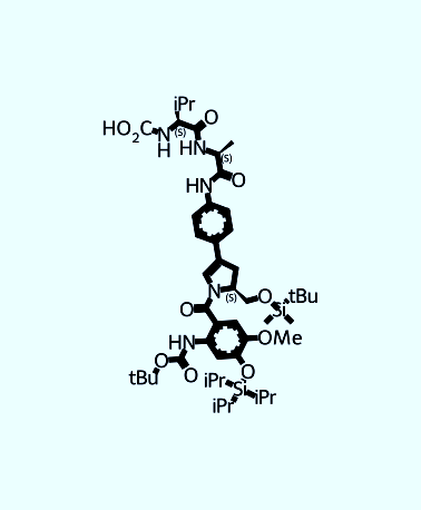 COc1cc(C(=O)N2C=C(c3ccc(NC(=O)[C@H](C)NC(=O)[C@@H](NC(=O)O)C(C)C)cc3)C[C@H]2CO[Si](C)(C)C(C)(C)C)c(NC(=O)OC(C)(C)C)cc1O[Si](C(C)C)(C(C)C)C(C)C